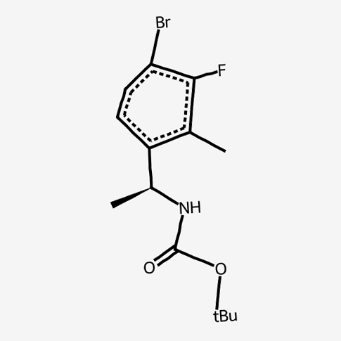 Cc1c([C@H](C)NC(=O)OC(C)(C)C)ccc(Br)c1F